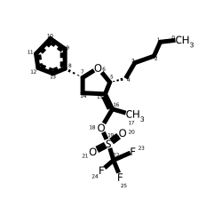 CCCCC[C@H]1O[C@@H](c2ccccc2)C/C1=C(/C)OS(=O)(=O)C(F)(F)F